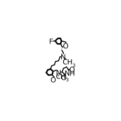 CCN(CCCCCc1cccc(C=O)c1CN(C)C1CCC(=O)NC1=O)CC[C@H]1OCc2ccc(F)cc21